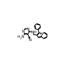 N#Cc1c(N)ncnc1NCc1cc2ccccn2c1-c1ccccc1